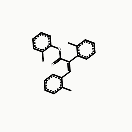 Cc1ccccc1C=C(C(=O)Oc1ccccc1C)c1ccccc1C